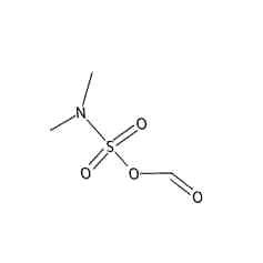 CN(C)S(=O)(=O)OC=O